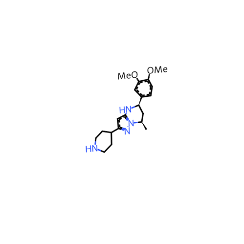 COc1ccc([C@H]2C[C@@H](C)n3nc(C4CCNCC4)cc3N2)cc1OC